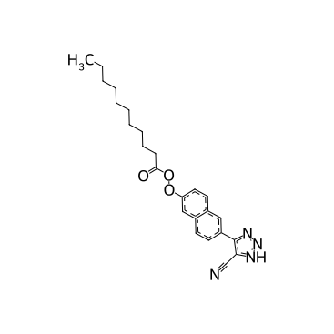 CCCCCCCCCCC(=O)OOc1ccc2cc(-c3nn[nH]c3C#N)ccc2c1